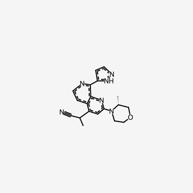 CC(C#N)c1cc(N2CCOC[C@H]2C)nc2c(-c3ccn[nH]3)nccc12